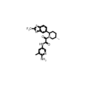 Cc1cc(NC(=O)C(=O)N2C[C@@H](C)CCC2c2ccc3sc(C(F)(F)F)nc3c2)cnc1N